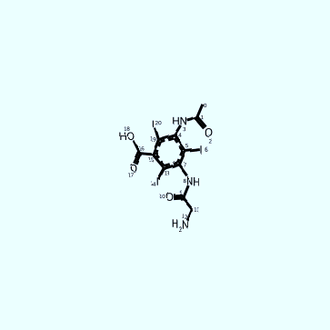 CC(=O)Nc1c(I)c(NC(=O)CN)c(I)c(C(=O)O)c1I